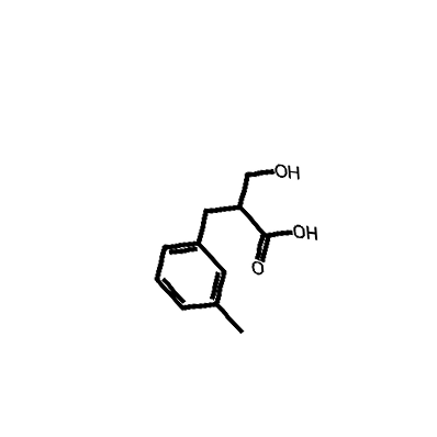 Cc1cccc(CC(CO)C(=O)O)c1